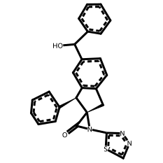 O=C1N(c2nncs2)[C@]12Cc1ccc(C(O)c3ccccc3)cc1[C@@H]2c1ccccc1